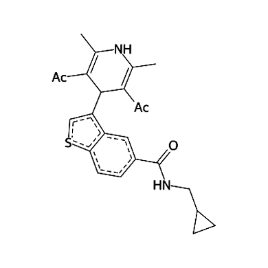 CC(=O)C1=C(C)NC(C)=C(C(C)=O)C1c1csc2ccc(C(=O)NCC3CC3)cc12